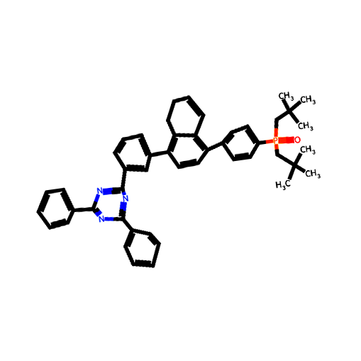 CC(C)(C)CP(=O)(CC(C)(C)C)c1ccc(-c2ccc(-c3cccc(-c4nc(-c5ccccc5)nc(-c5ccccc5)n4)c3)c3c2C=CCC3)cc1